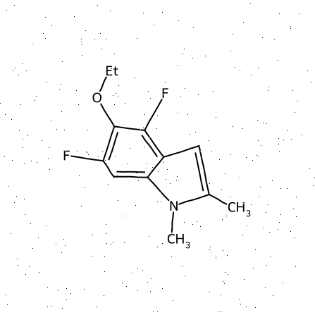 CCOc1c(F)cc2c(cc(C)n2C)c1F